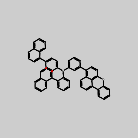 c1cc(-c2ccc3c4c(cccc24)-c2ccccc2O3)cc(N(c2ccc(-c3cccc4ccccc34)cc2)c2ccccc2-c2cccc3ccccc23)c1